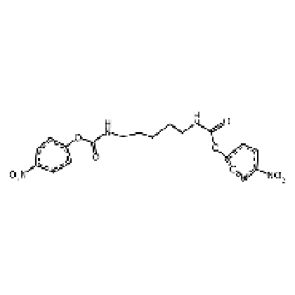 O=C(NCCCCCNC(=O)Oc1ccc([N+](=O)[O-])cc1)Oc1ccc([N+](=O)[O-])cc1